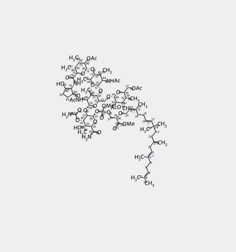 C=C(C/C=C(\C)CCC=C(C)C)CCC(C)(C)/C=C/CC/C(C)=C\CO[C@H](COP(=O)(OC)O[C@H]1OC(C(N)=O)[C@@](C)(O)[C@H](OC(N)=O)C1O[C@@H]1OC(CO[C@@H]2OC(COC(C)=O)[C@@H](C)[C@H](C)C2OC(C)=O)[C@@H](O[C@@H]2OC(C)[C@@H](O[C@@H]3OC(C(=O)NC4=C(O)CCC4=O)[C@H](C)[C@H](C)C3OC(C)=O)[C@H](C)C2NC(C)=O)[C@H](C)C1NC(C)=O)C(=O)OC